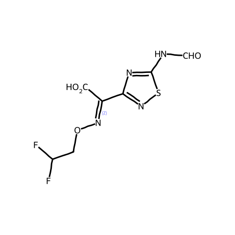 O=CNc1nc(/C(=N/OCC(F)F)C(=O)O)ns1